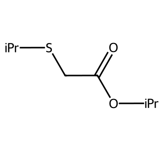 CC(C)OC(=O)CSC(C)C